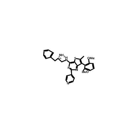 COc1cccc(OCC(C)C)c1-c1c(C)sc2c(NC[C@@H](N)Cc3ccccc3)nc(-c3ccncc3)nc12